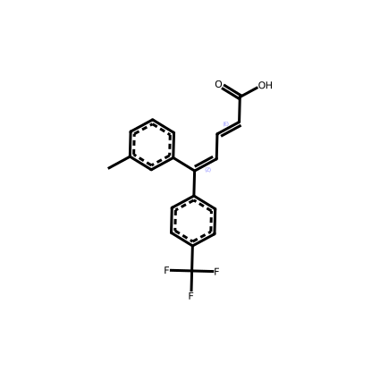 Cc1cccc(/C(=C\C=C\C(=O)O)c2ccc(C(F)(F)F)cc2)c1